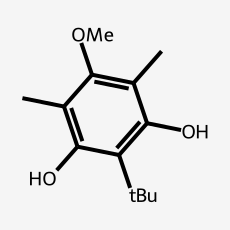 COc1c(C)c(O)c(C(C)(C)C)c(O)c1C